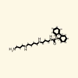 NCCCNCCCCNCCCNC(=O)n1c2ccccc2c2ccccc21